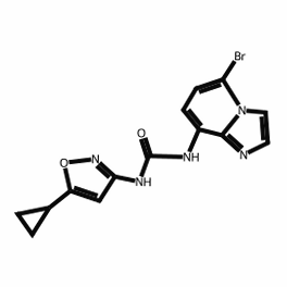 O=C(Nc1cc(C2CC2)on1)Nc1ccc(Br)n2ccnc12